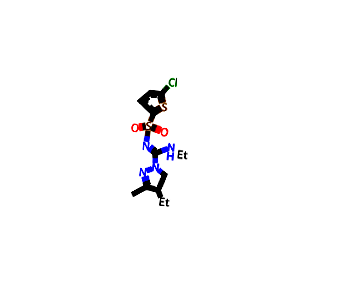 CCN/C(=N\S(=O)(=O)c1ccc(Cl)s1)N1CC(CC)C(C)=N1